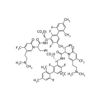 CCOC(=O)C[C@H](NC(=O)C(CC(C)C)n1cc(CCN(C)C)c(C(F)(F)F)cc1=O)c1c(F)c(C)cc(-c2c(C)cc(C)cc2F)c1F.Cc1cc(C)c(-c2cc(C)c(F)c([C@H](CC(=O)O)NC(=O)C(CC(C)C)n3cc(CCN(C)C)c(C(F)(F)F)cc3=O)c2F)c(F)c1